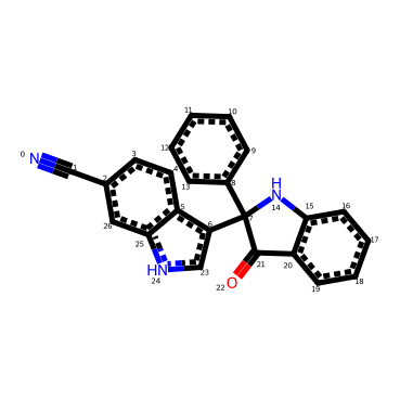 N#Cc1ccc2c(C3(c4ccccc4)Nc4ccccc4C3=O)c[nH]c2c1